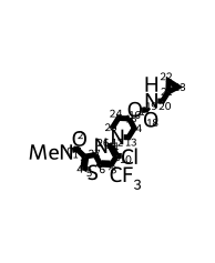 CNC(=O)c1csc2c(C(F)(F)F)c(Cl)c(N3CCC(OC(=O)NCC4CC4)CC3)nc12